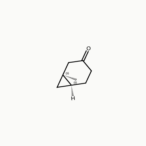 C[C@]12CC(=O)CC[C@H]1C2